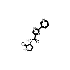 O=C(N[C@H]1CCNC1=O)c1cnc(-c2cccnc2)s1